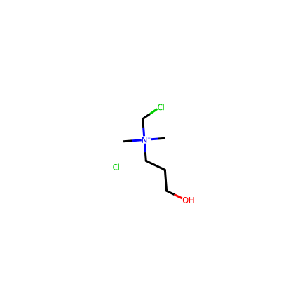 C[N+](C)(CCl)CCCO.[Cl-]